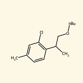 CCCCOCC(C)c1ccc(C)cc1Cl